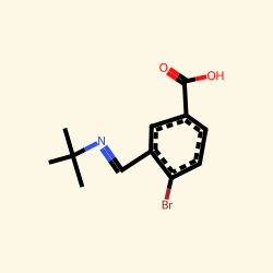 CC(C)(C)N=Cc1cc(C(=O)O)ccc1Br